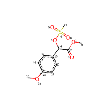 COC(=O)C(OS(C)(=O)=O)c1ccc(OC)cc1